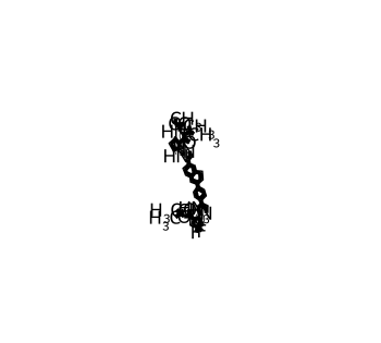 COC(=O)N[C@H](C(=O)N1CCC[C@H]1c1ncc(-c2ccc3cc(-c4ccc(-c5cnc([C@@H]6CC(F)(F)CN6C(=O)OC(C)(C)C)[nH]5)cc4)ccc3c2)[nH]1)C(C)C